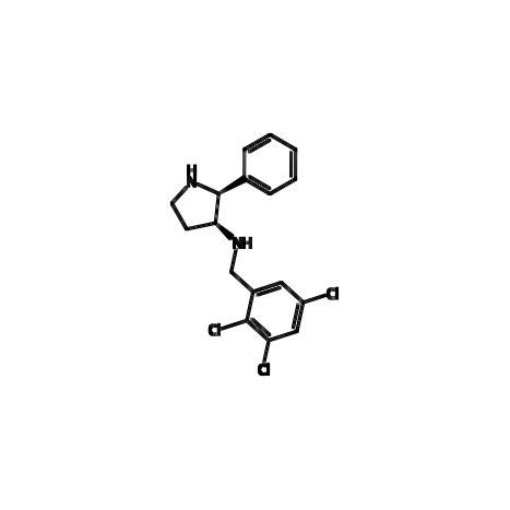 Clc1cc(Cl)c(Cl)c(CN[C@H]2CCN[C@H]2c2ccccc2)c1